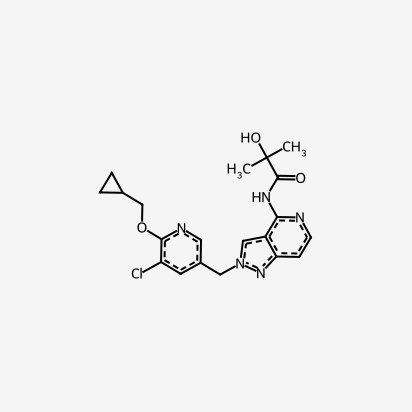 CC(C)(O)C(=O)Nc1nccc2nn(Cc3cnc(OCC4CC4)c(Cl)c3)cc12